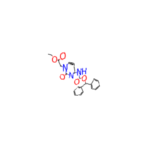 CCOC(=O)Cn1ccc(NC(=O)OC(c2ccccc2)c2ccccc2)nc1=O